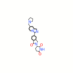 O=C1CCC(N2Cc3cc(-c4ncc5cc(CN6CCCC6)ccn45)ccc3C2=O)C(=O)N1